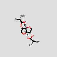 CCCC[C@@H](CC)C(=O)O[C@@H]1CO[C@H]2[C@@H]1OC[C@@H]2OC(=O)[C@H](CC)CCC